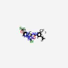 CC(NC(=O)c1cc(C2CC2)cc(C(F)(F)F)c1)c1nc(Br)nn1-c1ncc(OC(F)F)cn1